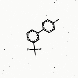 Cc1ccc(-c2ccnc(C(F)(F)F)c2)cc1